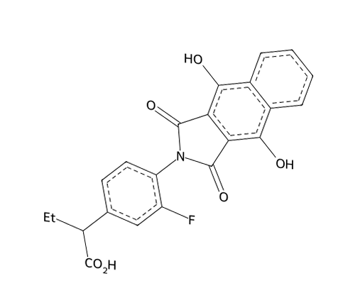 CCC(C(=O)O)c1ccc(N2C(=O)c3c(c(O)c4ccccc4c3O)C2=O)c(F)c1